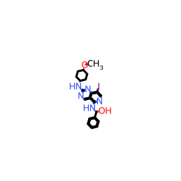 CO[C@H]1CC[C@H](Nc2ncc3c(NC(O)c4ccccc4)ncc(I)c3n2)CC1